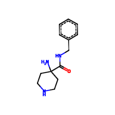 NC1(C(=O)NCc2ccccc2)CCNCC1